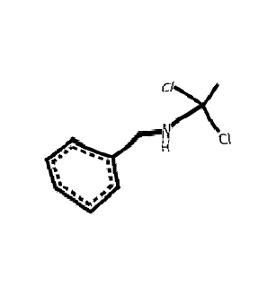 CC(Cl)(Cl)NCc1ccccc1